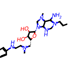 CCCN1CNC2C(C1N)N(C)CN2[C@@H]1O[C@H](CN(C)CCNc2ccccc2)[C@@H](O)[C@H]1O